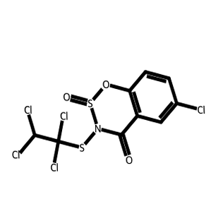 O=C1c2cc(Cl)ccc2OS(=O)N1SC(Cl)(Cl)C(Cl)Cl